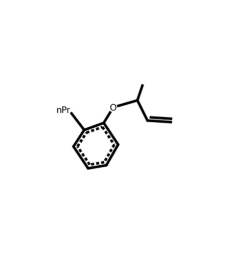 C=CC(C)Oc1ccccc1CCC